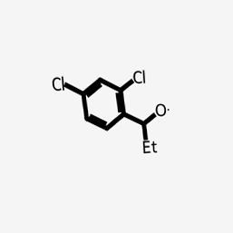 CCC([O])c1ccc(Cl)cc1Cl